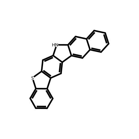 c1ccc2cc3c(cc2c1)[nH]c1cc2sc4ccccc4c2cc13